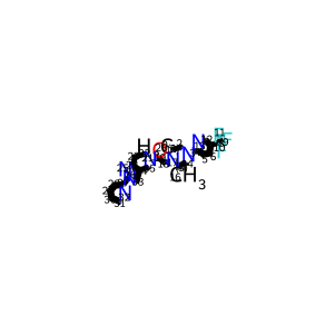 C[C@@H]1CN(c2ccc(C(F)(F)F)cn2)C[C@H](C)N1CC(=O)N1CCc2nn(-c3ccccn3)cc2C1